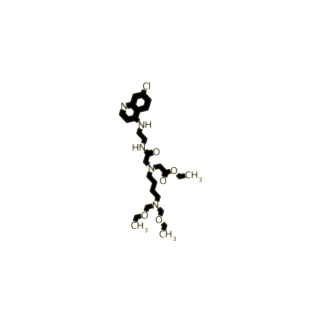 CCOCN(CCCCN(CC(=O)NCCNc1ccnc2cc(Cl)ccc12)CC(=O)OCC)COCC